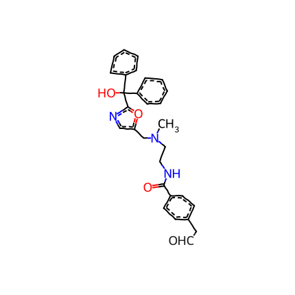 CN(CCNC(=O)c1ccc(CC=O)cc1)Cc1cnc(C(O)(c2ccccc2)c2ccccc2)o1